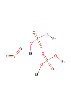 CCOS(=O)(=O)OCC.CCOS(=O)(=O)OCC.O=S=O